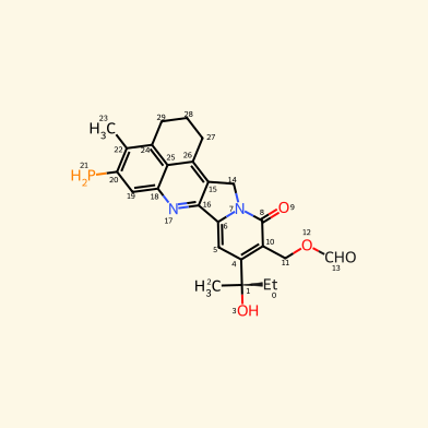 CC[C@](C)(O)c1cc2n(c(=O)c1COC=O)Cc1c-2nc2cc(P)c(C)c3c2c1CCC3